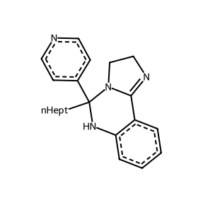 CCCCCCCC1(c2ccncc2)Nc2ccccc2C2=NCCN21